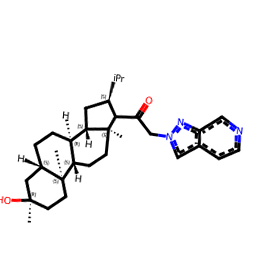 CC(C)[C@@H]1C[C@H]2[C@@H]3CC[C@H]4C[C@](C)(O)CC[C@]4(C)[C@H]3CC[C@]2(C)C1C(=O)Cn1cc2ccncc2n1